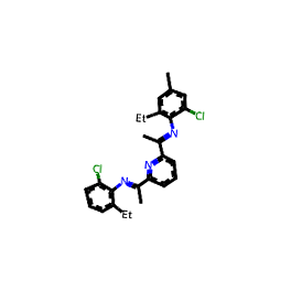 CCc1cccc(Cl)c1/N=C(\C)c1cccc(/C(C)=N/c2c(Cl)cc(C)cc2CC)n1